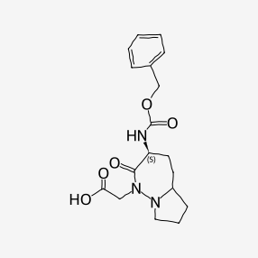 O=C(O)CN1C(=O)[C@@H](NC(=O)OCc2ccccc2)CCC2CCCN21